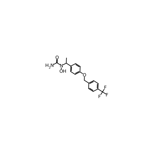 CC(c1ccc(OCc2ccc(C(F)(F)F)cc2)cc1)N(O)C(N)=O